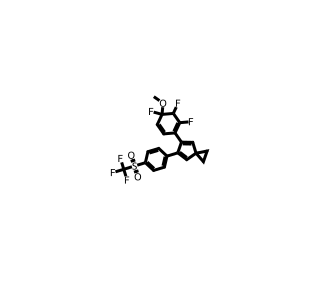 COC1(F)C=CC(C2=CC3(C=C2c2ccc(S(=O)(=O)C(F)(F)F)cc2)CC3)=C(F)C1F